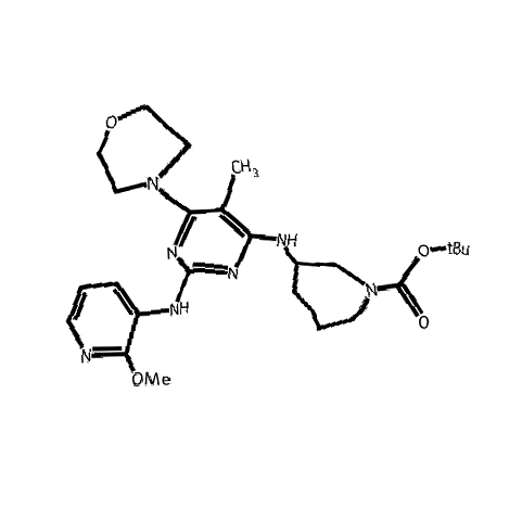 COc1ncccc1Nc1nc(NC2CCCN(C(=O)OC(C)(C)C)C2)c(C)c(N2CCOCC2)n1